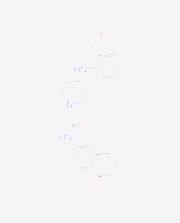 O=C(CN1CCC(Nc2ccccc2CO)CC1)Nc1ccc2c(c1)CCCC2=O